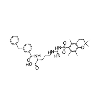 Cc1c(C)c(S(=O)(=O)NC(=N)NCCC[C@H](NC(=O)c2cccc(Cc3ccccc3)c2)C(=O)O)c(C)c2c1OC(C)(C)CC2